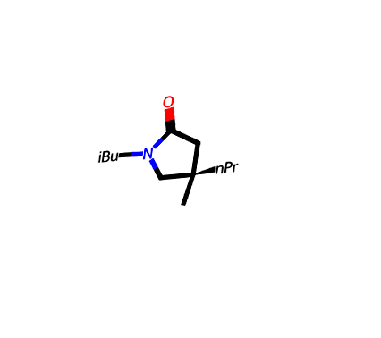 CCC[C@]1(C)CC(=O)N(C(C)CC)C1